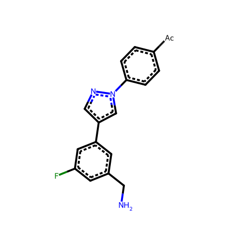 CC(=O)c1ccc(-n2cc(-c3cc(F)cc(CN)c3)cn2)cc1